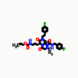 C=CCOC(=O)NCCC[C@H]1C(=O)N(CCc2ccc(F)cc2)C[C@H]2N1C(=O)CN(C)N2C(=O)NCc1ccc(F)cc1